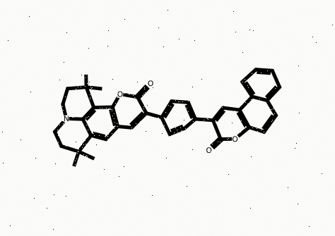 CC1(C)CCN2CCC(C)(C)c3c2c1cc1cc(-c2ccc(-c4cc5c(ccc6ccccc65)oc4=O)cc2)c(=O)oc31